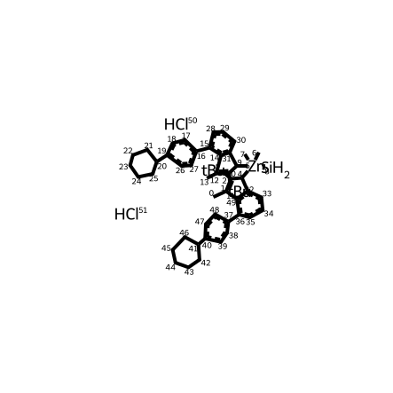 CC1=C(C(C)(C)C)[CH]([Zr]([CH3])([CH3])(=[SiH2])[CH]2C(C(C)(C)C)=C(C)c3c(-c4ccc(C5CCCCC5)cc4)cccc32)c2cccc(-c3ccc(C4CCCCC4)cc3)c21.Cl.Cl